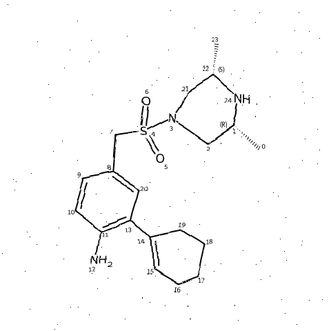 C[C@@H]1CN(S(=O)(=O)Cc2ccc(N)c(C3=CCCCC3)c2)C[C@H](C)N1